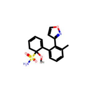 CCCOC1(S(N)(=O)=O)CC=CC=C1c1cccc(C)c1-c1ccon1